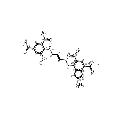 COc1cc(C(N)=O)cc([N+](=O)[O-])c1NC/C=C/CNc1c([N+](=O)[O-])cc(C(N)=O)c2oc(C)cc12